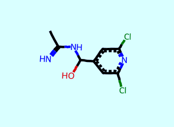 CC(=N)NC(O)c1cc(Cl)nc(Cl)c1